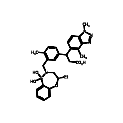 CC[C@@H]1CN(Cc2cc(C(CC(=O)O)c3ccc4c(nnn4C)c3C)ccc2C)S(O)(O)c2ccccc2O1